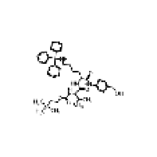 CC(C)[C@H](NC(=O)OCC[Si](C)(C)C)C(=O)N[C@@H](CCCCNC(c1ccccc1)(c1ccccc1)c1ccccc1)C(=O)Nc1ccc(CO)cc1